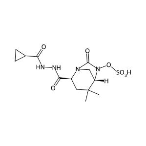 CC1(C)C[C@@H](C(=O)NNC(=O)C2CC2)N2C[C@@H]1N(OS(=O)(=O)O)C2=O